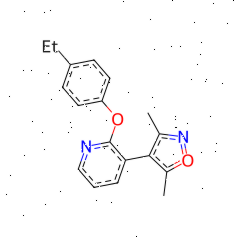 CCc1ccc(Oc2ncccc2-c2c(C)noc2C)cc1